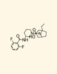 CCC12CCC(CC(N3CCCC(NC(=O)c4c(F)cccc4F)C3)C1)N2C(=O)O